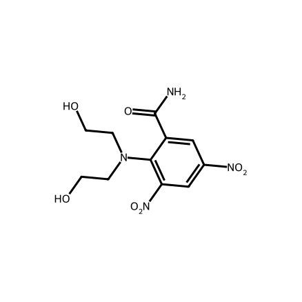 NC(=O)c1cc([N+](=O)[O-])cc([N+](=O)[O-])c1N(CCO)CCO